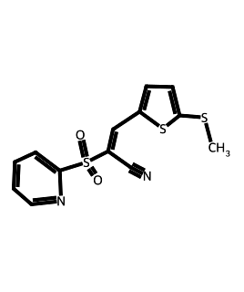 CSc1ccc(C=C(C#N)S(=O)(=O)c2ccccn2)s1